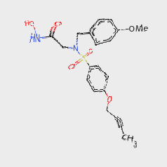 CC#CCOc1ccc(S(=O)(=O)N(CC(=O)NO)Cc2ccc(OC)cc2)cc1